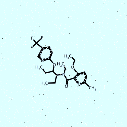 CCOc1ccc(C)nc1C(=O)N(CC)C(CC)C(CC)Oc1ccc(C(F)(F)F)cn1